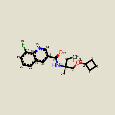 C[C@](COC1CCC1)(CC(F)(F)F)NC(=O)c1cnc2c(F)cccc2c1